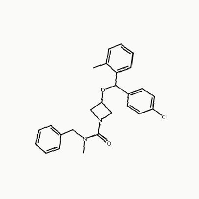 Cc1ccccc1C(OC1CN(C(=O)N(C)Cc2ccccc2)C1)c1ccc(Cl)cc1